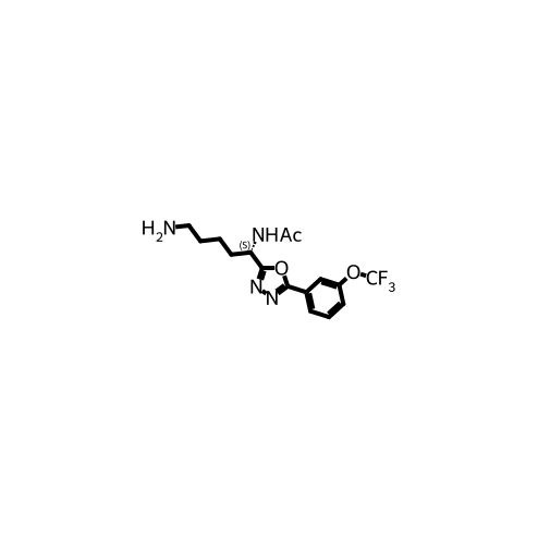 CC(=O)N[C@@H](CCCCN)c1nnc(-c2cccc(OC(F)(F)F)c2)o1